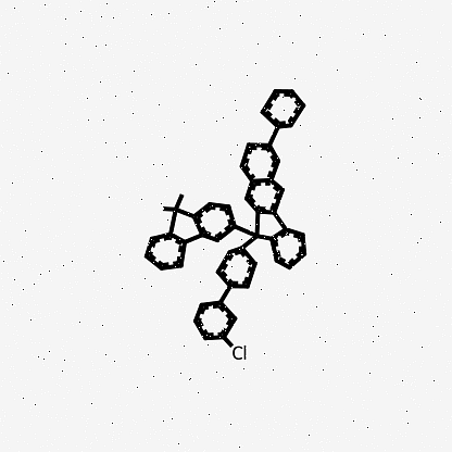 CC1(C)c2ccccc2-c2cc(C3(c4ccc(-c5cccc(Cl)c5)cc4)c4ccccc4-c4cc5cc(-c6ccccc6)ccc5cc43)ccc21